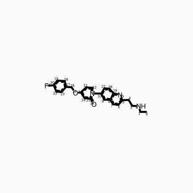 CCNCCc1ccc2cc(-n3ccc(OCc4ccc(F)cc4)cc3=O)ccc2n1